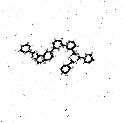 c1ccc(-c2nc(-c3ccccc3)nc(-c3cccc(-c4cccc(-c5ccc6ccc7nc(-c8ccccc8)sc7c6c5)c4)c3)n2)cc1